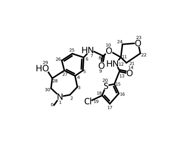 CN1CCc2cc(NC(=O)OC3(NC(=O)c4ccc(Cl)s4)CCOC3)ccc2C(O)C1